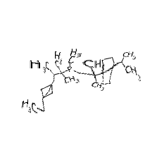 CCC12CC(C(C)C(C)(C)P(C)CC(C)(C)C34CCC3(C(C)C)CC4)(C1)C2